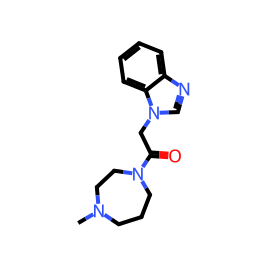 CN1CCCN(C(=O)Cn2cnc3ccccc32)CC1